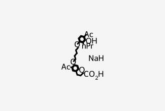 CCCc1c(OCCCCCOc2cc3c(cc2C(C)=O)CCC(C(=O)O)O3)ccc(C(C)=O)c1O.[NaH]